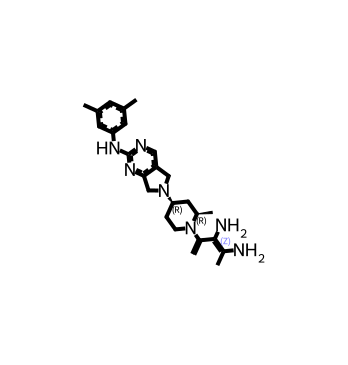 C=C(/C(N)=C(\C)N)N1CC[C@@H](N2Cc3cnc(Nc4cc(C)cc(C)c4)nc3C2)C[C@H]1C